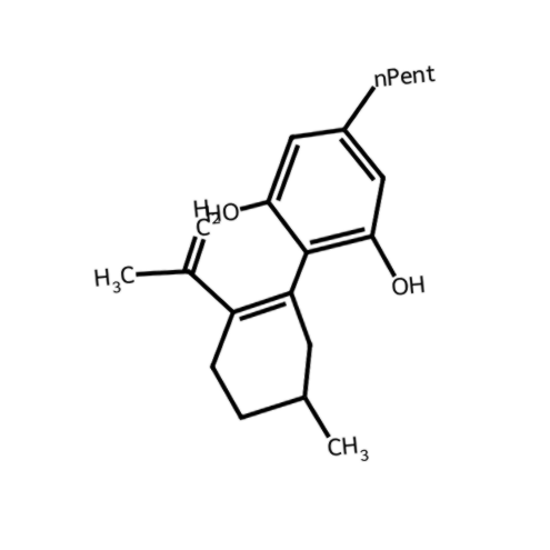 C=C(C)C1=C(c2c(O)cc(CCCCC)cc2O)CC(C)CC1